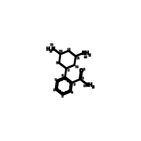 NC(=O)c1ccccc1C1CC(N)CC(N)C1